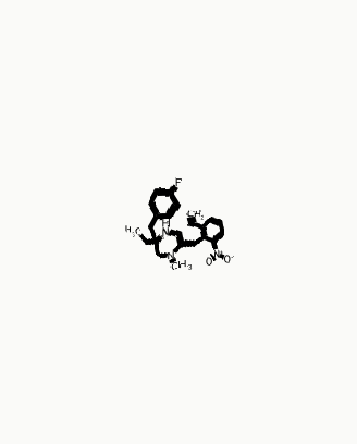 C=Cc1cccc([N+](=O)[O-])c1C=C1CNC(CC)(Cc2ccc(F)cc2)CN1C